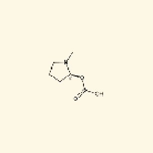 CN1CCC[C@@H]1OC(=O)O